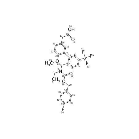 CCN(Cc1ccc(C(F)(F)F)cc1-c1cc(CC(=O)O)ccc1OC)C(=O)OCc1ccc(F)cc1